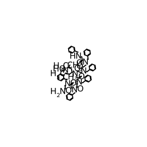 CC1(C)CC(N(CC(=O)N(CC(=O)N(CC(=O)N(CC(N)=O)Cc2ccccc2)Cc2ccccc2)Cc2ccccc2)C(=O)CN(Cc2ccccc2)C(=O)CN(Cc2ccccc2)C(=O)CNCc2ccccc2)CC(C)(C)N1O